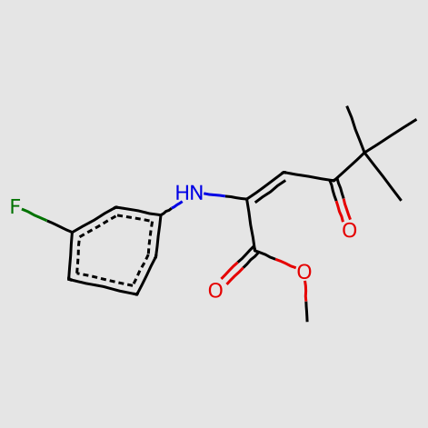 COC(=O)C(=CC(=O)C(C)(C)C)Nc1cccc(F)c1